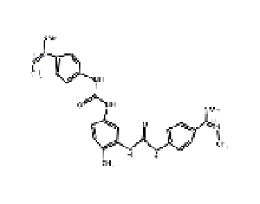 C/N=C(/NC)c1ccc(NC(=O)Nc2ccc(C)c(NC(=O)Nc3ccc(/C(=N\C)NC)cc3)c2)cc1